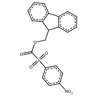 O=C(OCC1c2ccccc2-c2ccccc21)S(=O)(=O)c1ccc([N+](=O)[O-])cc1